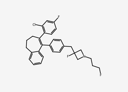 FCCCN1CC(F)(Cc2ccc(C3=C(c4ccc(F)cc4Cl)CCCc4ccccc43)cc2)C1